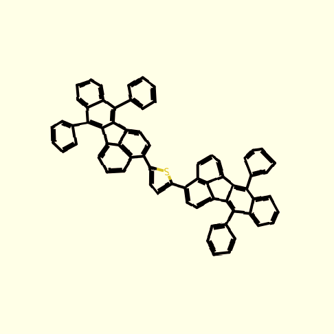 c1ccc(-c2c3c(c(-c4ccccc4)c4ccccc24)-c2ccc(-c4ccc(-c5ccc6c7c(cccc57)-c5c-6c(-c6ccccc6)c6ccccc6c5-c5ccccc5)s4)c4cccc-3c24)cc1